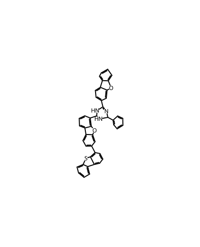 c1ccc(C2N=C(c3ccc4c(c3)oc3ccccc34)NC(c3cccc4c3oc3cc(-c5cccc6c5sc5ccccc56)ccc34)N2)cc1